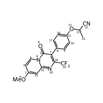 COc1ccn2c(=O)c(-c3ccc(OC(C)C#N)cc3)c(C(F)(F)F)nc2c1